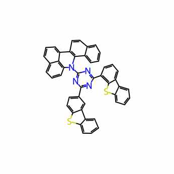 c1ccc2c3c(ccc2c1)-c1cccc2cccc(c12)N3c1nc(-c2ccc3sc4ccccc4c3c2)nc(-c2cccc3c2sc2ccccc23)n1